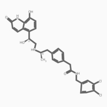 C[C@H](Cc1ccc(CC(=O)NCc2ccc(Cl)c(Cl)c2)cc1)NC[C@@H](O)c1ccc(O)c2[nH]c(=O)ccc12